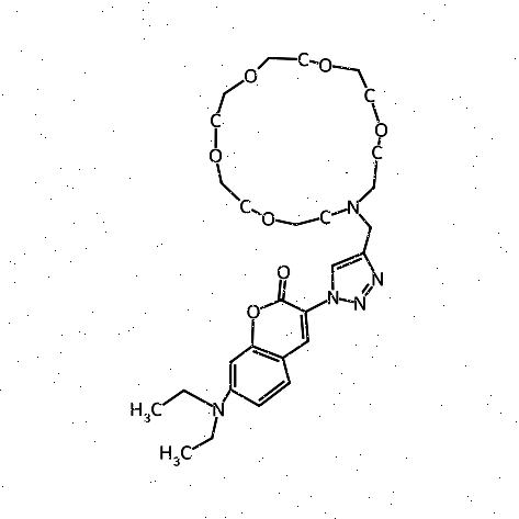 CCN(CC)c1ccc2cc(-n3cc(CN4CCOCCOCCOCCOCCOCC4)nn3)c(=O)oc2c1